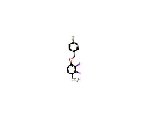 O=C(O)c1ccc(OCc2ccc(Br)cc2)c(I)c1I